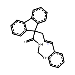 CCNC(=O)C1(C/C=C/c2ccccc2)c2ccccc2-c2ccccc21